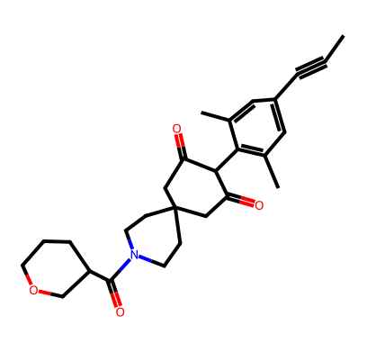 CC#Cc1cc(C)c(C2C(=O)CC3(CCN(C(=O)C4CCCOC4)CC3)CC2=O)c(C)c1